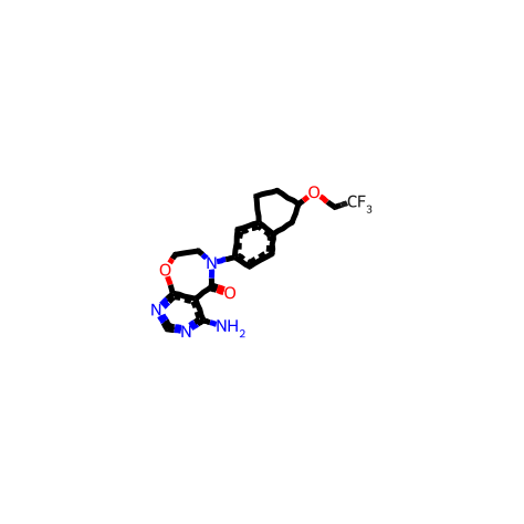 Nc1ncnc2c1C(=O)N(c1ccc3c(c1)CCC(OCC(F)(F)F)C3)CCO2